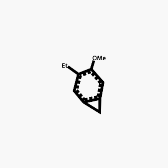 CCc1cc2c(cc1OC)C2